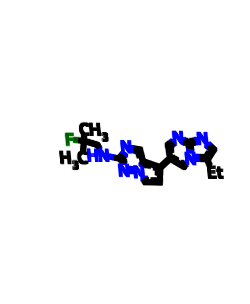 CCc1cnc2ncc(-c3ccn4nc(NCC(C)(C)F)ncc34)cn12